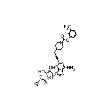 Nc1nc(C#CCC2CCN(C(=O)Oc3cccc(C(F)(F)F)c3)CC2)nc2c1ncn2[C@@H]1O[C@H](C(=O)NC2CC2)C(O)[C@@H]1O